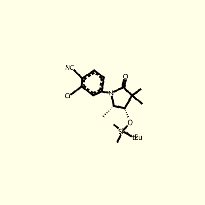 C[C@H]1[C@@H](O[Si](C)(C)C(C)(C)C)C(C)(C)C(=O)N1c1ccc(C#N)c(Cl)c1